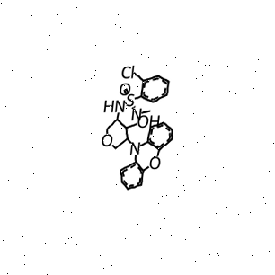 CN=S(=O)(NC1COCC(N2c3ccccc3Oc3ccccc32)C1O)c1ccccc1Cl